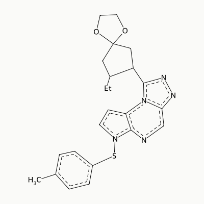 CCC1CC2(CC1c1nnc3cnc4c(ccn4Sc4ccc(C)cc4)n13)OCCO2